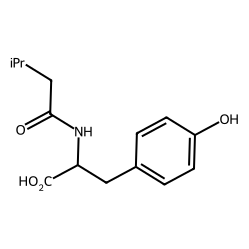 CC(C)CC(=O)NC(Cc1ccc(O)cc1)C(=O)O